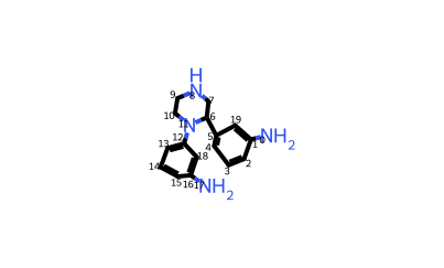 Nc1cccc(C2CNCCN2c2cccc(N)c2)c1